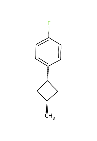 C[C@H]1C[C@H](c2ccc(F)cc2)C1